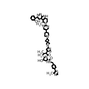 Cc1ncsc1-c1ccc(CNC(=O)[C@@H]2C[C@@H](O)CN2C(=O)C(c2cc(N3CC4(CC(N5CCC(c6cnc(N7CCc8[nH]c9nnc(-c%10ccccc%10O)cc9c8[C@H]7C)nc6)CC5)C4)C3)no2)C(C)C)cc1